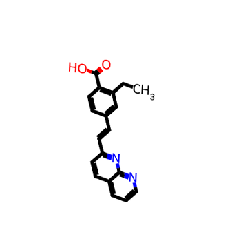 CCc1cc(C=Cc2ccc3cccnc3n2)ccc1C(=O)O